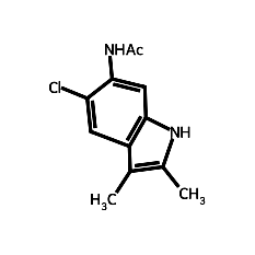 CC(=O)Nc1cc2[nH]c(C)c(C)c2cc1Cl